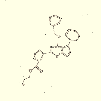 CC(=O)CCNC(=O)c1cncc(-c2nc(NCc3ccccc3)c3c(-c4ccccc4)ccn3n2)c1